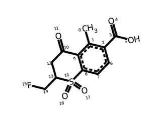 Cc1c(C(=O)O)ccc2c1C(=O)CC(CF)S2(=O)=O